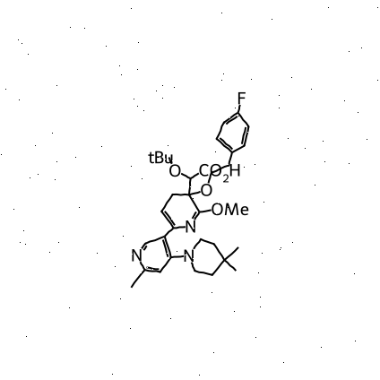 COC1=NC(c2cnc(C)cc2N2CCC(C)(C)CC2)=CCC1(OCCc1ccc(F)cc1)C(OC(C)(C)C)C(=O)O